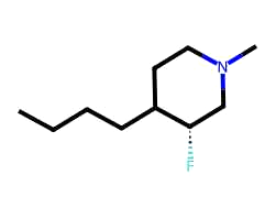 CCCCC1CCN(C)C[C@@H]1F